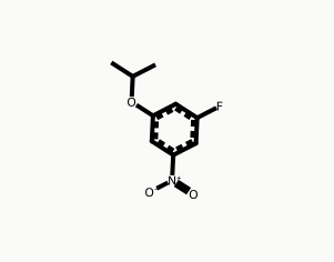 CC(C)Oc1cc(F)cc([N+](=O)[O-])c1